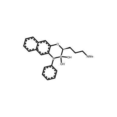 CNCCC[C@@H]1Oc2cc3ccccc3cc2N(c2ccccc2)S1(O)O